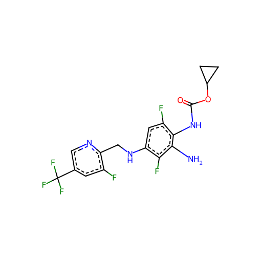 Nc1c(F)c(NCc2ncc(C(F)(F)F)cc2F)cc(F)c1NC(=O)OC1CC1